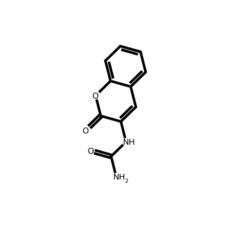 NC(=O)Nc1cc2ccccc2oc1=O